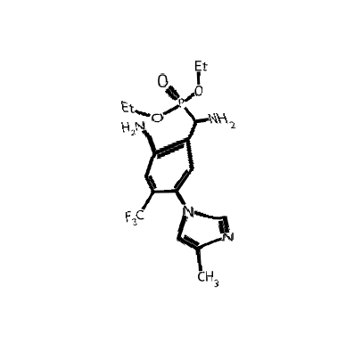 CCOP(=O)(OCC)C(N)c1cc(-n2cnc(C)c2)c(C(F)(F)F)cc1N